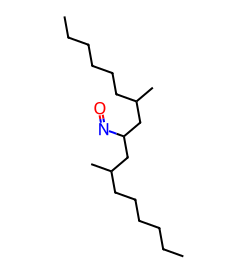 CCCCCCC(C)CC(CC(C)CCCCCC)N=O